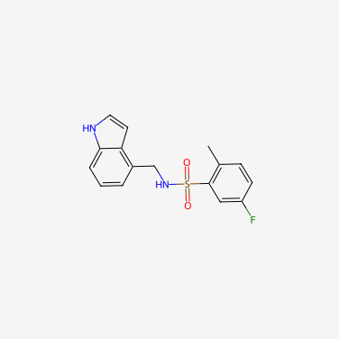 Cc1ccc(F)cc1S(=O)(=O)NCc1cccc2[nH]ccc12